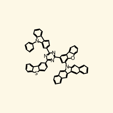 c1ccc(-n2c3ccccc3c3ccc(-c4nc(-c5ccc6sc7ccccc7c6c5)nc(-c5cc(-n6c7cc8ccccc8cc7c7cc8ccccc8cc76)c6oc7ccccc7c6c5)n4)cc32)cc1